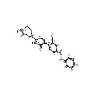 O=c1[nH]c(N2CCNCC2)ccc1-n1ccc(OCc2ccccc2)cc1=O